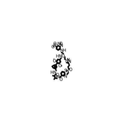 CNCc1cc(OC)c(C2C=C(CNC(=O)C(C)C(C)CNC(=O)c3ccc(SN(CC#N)C(=O)CCc4cn(CCOCCNc5ccc([N+](=O)[O-])c6nonc56)nn4)cc3)C3CC2C3(C)C)c(OC)c1